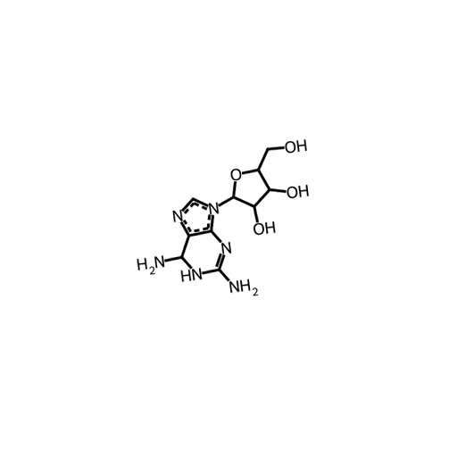 NC1=Nc2c(ncn2C2OC(CO)C(O)C2O)C(N)N1